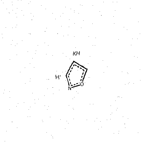 [H+].[KH].c1cnoc1